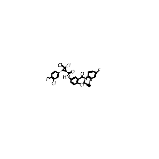 C#CCN(C(=O)c1cc(NC(=O)[C@H]2[C@H](c3ccc(F)c(Cl)c3)C2(Cl)Cl)ccc1Cl)c1ccc(F)cc1F